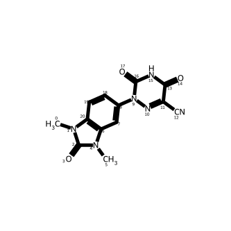 Cn1c(=O)n(C)c2cc(-n3nc(C#N)c(=O)[nH]c3=O)ccc21